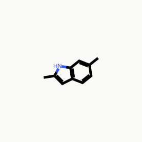 Cc1ccc2cc(C)[nH]c2c1